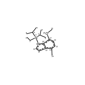 CC[Si](C(C)C)(C(C)C)n1ccc2c(C)ccc(OC)c21